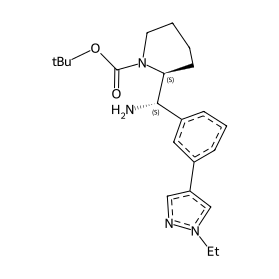 CCn1cc(-c2cccc([C@H](N)[C@@H]3CCCCN3C(=O)OC(C)(C)C)c2)cn1